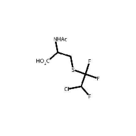 CC(=O)NC(CSC(F)(F)C(F)Cl)C(=O)O